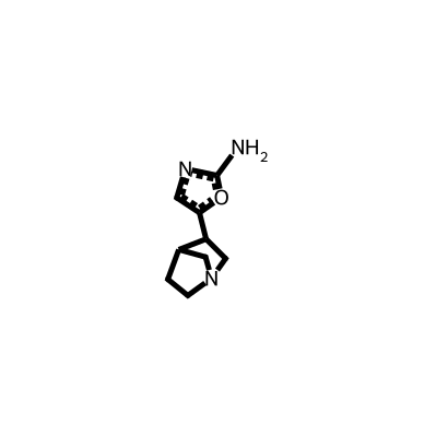 Nc1ncc(C2CN3CCC2C3)o1